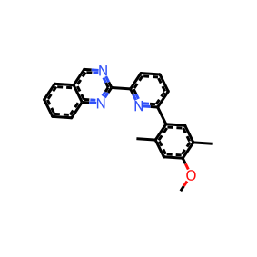 COc1cc(C)c(-c2cccc(-c3ncc4ccccc4n3)n2)cc1C